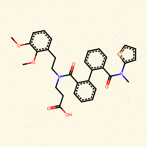 COc1cccc(CCN(CCC(=O)O)C(=O)c2ccccc2-c2ccccc2C(=O)N(C)c2cccs2)c1OC